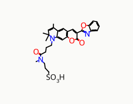 CC1=CC(C)(C)N(CCCC(=O)N(C)CCCS(=O)(=O)O)c2cc3oc(=O)c(-c4nc5ccccc5o4)cc3cc21